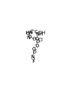 Cc1c(COc2cc3c(cc2Cl)CN[C@H](CO)CCCCNC(=O)c2cncc(c2)CO3)cccc1-c1cccc(OCCCN2CCC(F)CC2)c1C